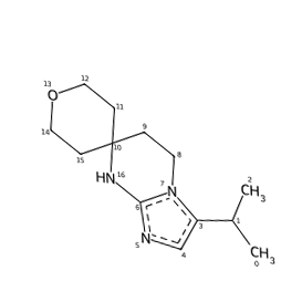 CC(C)c1cnc2n1CCC1(CCOCC1)N2